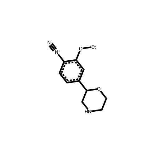 CCOc1cc(C2CNCCO2)ccc1[N+]#N